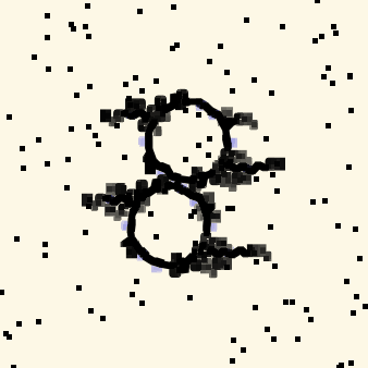 C/C=C/[C@H](O)C(C)(C)[C@@H]1C/C=C\C2C[C@@H]2/C=C/C=C(/C2=C/C=C/[C@@H]3C[C@@H]3/C=C\C[C@@H](C(C)(C)[C@@H](O)/C=C/CCN)OC(=O)c3coc(n3)/C=C\C=C\[C@H]3CC3/C=C\C[C@@H](C(C)(C)[C@@H](O)/C=C/C)OC(=O)c3coc2n3)c2nc(co2)C(=O)O[C@H](C(C)(C)[C@@H](O)/C=C/CCO)C/C=C\C2=C(C)[C@H]2/C=C/C=C\c2nc(co2)C(=O)O1